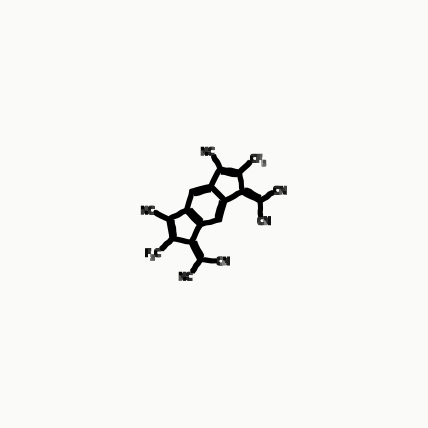 N#CC(C#N)=C1C(C(F)(F)F)=C(C#N)c2cc3c(cc21)C(=C(C#N)C#N)C(C(F)(F)F)=C3C#N